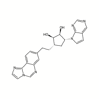 O[C@@H]1[C@@H](CCc2ccc3c(c2)ncn2ccnc32)C[C@@H](n2ccc3cncnc32)[C@@H]1O